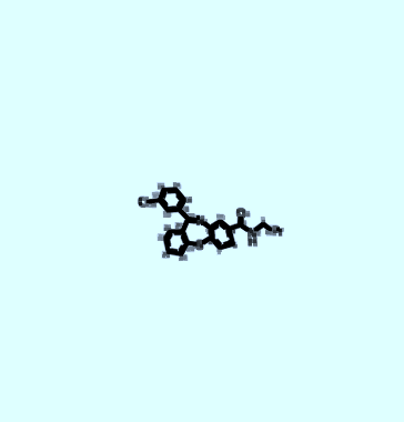 CC(C)CNC(=O)c1ccc2c(c1)N=C(c1cccc(Cl)c1)c1ccccc1S2